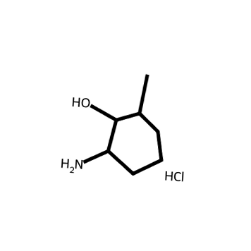 CC1CCCC(N)C1O.Cl